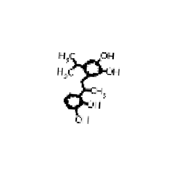 CC(C)c1cc(O)c(O)cc1CC(C)c1cccc(O)c1O